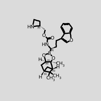 CC1(C)[C@@H]2C[C@H]3OB([C@H](CCc4coc5ccccc45)NC(=O)OC[C@H]4CCN4)O[C@@]3(C)[C@H]1C2